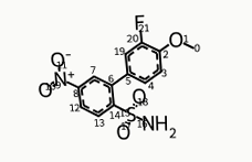 COc1ccc(-c2cc([N+](=O)[O-])ccc2S(N)(=O)=O)cc1F